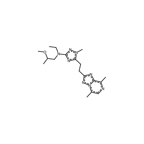 CCN(CC(C)OC)c1nc(CCc2nc3c(C)ncc(C)n3n2)n(C)n1